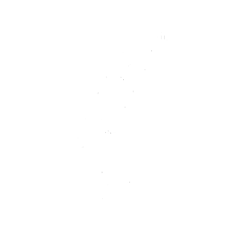 CC(C)(C)OC(=O)N1CCC(C(CO)NC(=O)OCc2ccccc2)CC1